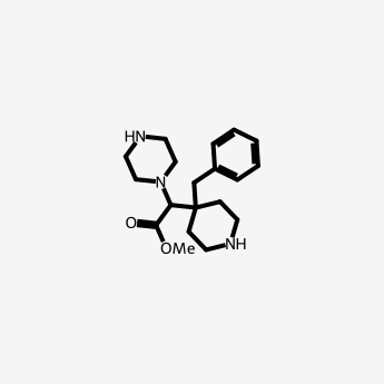 COC(=O)C(N1CCNCC1)C1(Cc2ccccc2)CCNCC1